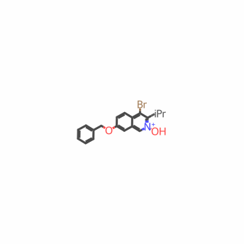 CC(C)c1c(Br)c2ccc(OCc3ccccc3)cc2c[n+]1O